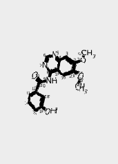 COc1cc2ncnc(NC(=O)c3cccc(O)c3)c2cc1OC